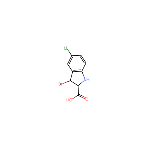 O=C(O)C1Nc2ccc(Cl)cc2C1Br